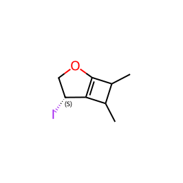 CC1C2=C(C1C)[C@H](I)CO2